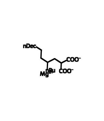 CCCCCCCCCCCCC(CCCC)CC(C(=O)[O-])C(=O)[O-].[Mg+2]